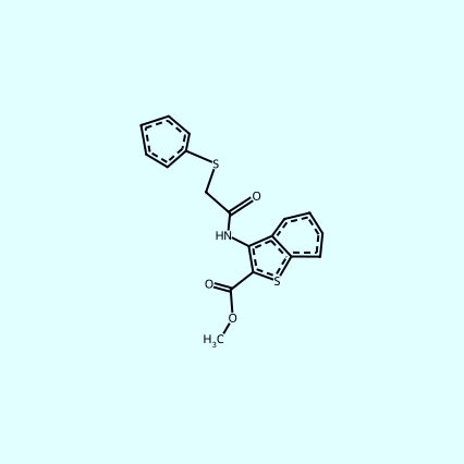 COC(=O)c1sc2ccccc2c1NC(=O)CSc1ccccc1